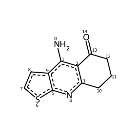 Nc1c2c(nc3sccc13)CCCC2=O